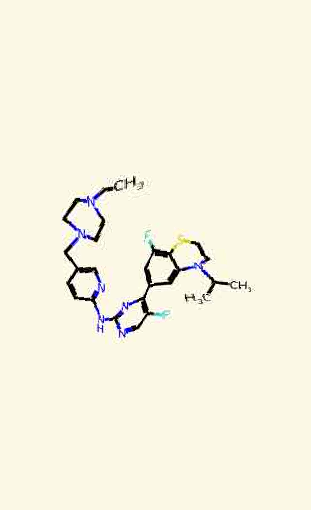 CCN1CCN(Cc2ccc(Nc3ncc(F)c(-c4cc(F)c5c(c4)N(C(C)C)CCS5)n3)nc2)CC1